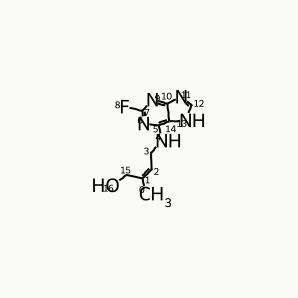 CC(=CCNc1nc(F)nc2nc[nH]c12)CO